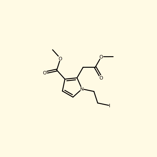 COC(=O)Cc1c(C(=O)OC)ccn1CCI